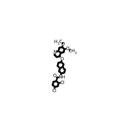 COc1cc2nccc(Oc3ccc4cc(NC(=O)c5ccc(Cl)cc5Cl)ccc4c3)c2cc1OC